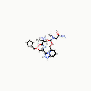 CN(CC(N)=O)C(=O)OCc1cccc2nnc([C@@H](COCC3CCCC3)NC(=O)C(C)(C)N)n12